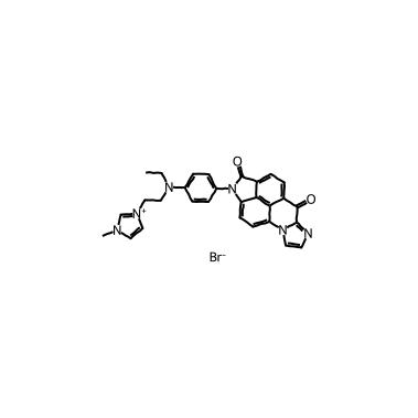 CCN(CC[n+]1ccn(C)c1)c1ccc(N2C(=O)c3ccc4c(=O)c5nccn5c5ccc2c3c45)cc1.[Br-]